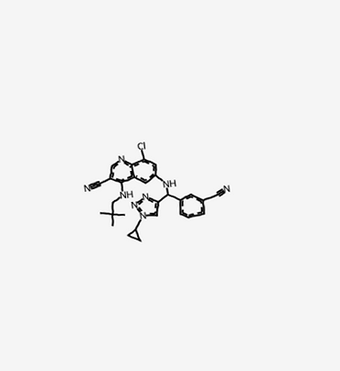 CC(C)(C)CNc1c(C#N)cnc2c(Cl)cc(NC(c3cccc(C#N)c3)c3cn(C4CC4)nn3)cc12